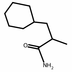 CC(CC1CCCCC1)C(N)=O